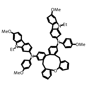 CCn1c2cc(OC)ccc2c2ccc(N(c3ccc(OC)cc3)c3ccc4c(c3)Cc3ccccc3Oc3ccccc3Cc3cc(N(c5ccc(OC)cc5)c5ccc6c7ccc(OC)cc7n(CC)c6c5)ccc3-4)cc21